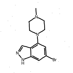 CN1CCN(c2cc(Br)cc3[nH]ncc23)CC1